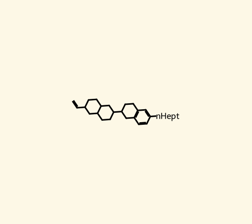 C=CC1CCC2CC(C3CCc4cc(CCCCCCC)ccc4C3)CCC2C1